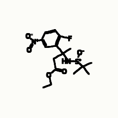 CCOC(=O)CC(C)(N[S@+]([O-])C(C)(C)C)c1cc([N+](=O)[O-])ccc1F